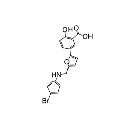 O=C(O)c1cc(-c2ccc(CNc3ccc(Br)cc3)o2)ccc1O